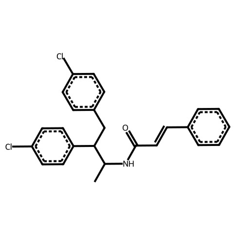 CC(NC(=O)C=Cc1ccccc1)C(Cc1ccc(Cl)cc1)c1ccc(Cl)cc1